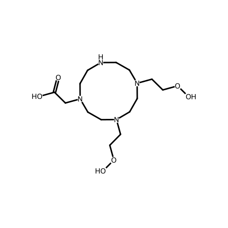 O=C(O)CN1CCNCCN(CCOO)CCN(CCOO)CC1